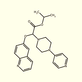 CC(C)OC(=O)C(Oc1ccc2ncccc2c1)N1CCN(c2ccncc2)CC1